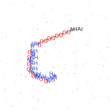 CC(=O)NCCOCCOCCOCCOCCOCCOCCOCCOCCC(=O)NCCCN(C)CCCNC(=O)c1cc(NC(=O)c2nc(NC(=O)CCNC(=O)c3cc(NC(=O)c4nc(NC(=O)CCNC(=O)c5cc(NC(=O)c6nccn6C)cn5C)cn4C)cn3C)cn2C)cn1C